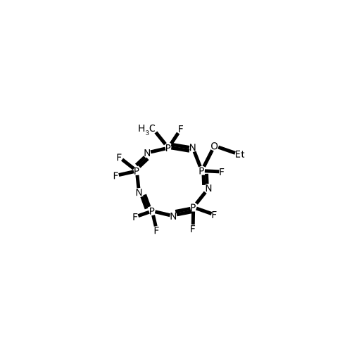 CCOP1(F)=NP(F)(F)=NP(F)(F)=NP(F)(F)=NP(C)(F)=N1